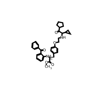 COC(=O)[C@H](Cc1ccc(OCCNC(C(=O)C2CCCC2)C2CC2)cc1)Nc1ccccc1C(=O)c1ccccc1